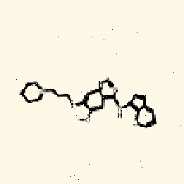 COc1cc2c(Nc3ccc4cccoc3-4)ncnc2cc1OCCCN1CCCCC1